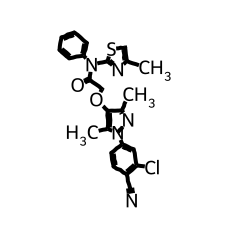 Cc1csc(N(C(=O)COc2c(C)nn(-c3ccc(C#N)c(Cl)c3)c2C)c2ccccc2)n1